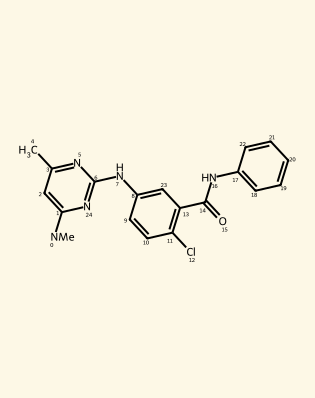 CNc1cc(C)nc(Nc2ccc(Cl)c(C(=O)Nc3ccccc3)c2)n1